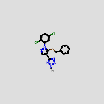 CC(C)n1nnc(-c2cnn(-c3cc(Cl)ccc3Cl)c2SCc2ccccc2)n1